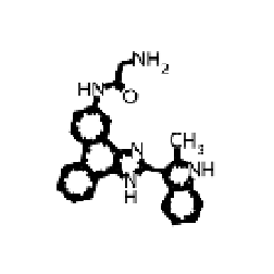 Cc1[nH]c2ccccc2c1-c1nc2c3cc(NC(=O)CN)ccc3c3ccccc3c2[nH]1